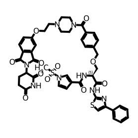 CS(=O)(=O)n1ccc(C(=O)N[C@@H](COCc2ccc(C(=O)N3CCN(CCOc4ccc5c(c4)C(=O)N(C4CCC(=O)NC4=O)C5=O)CC3)cc2)C(=O)Nc2nc(-c3ccccc3)cs2)c1